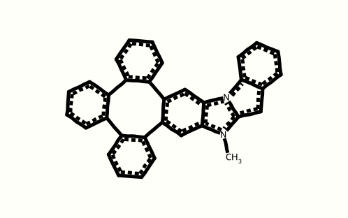 Cn1c2cc3c(cc2n2c4ccccc4cc12)-c1ccccc1-c1ccccc1-c1ccccc1-3